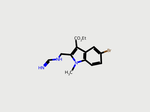 CCOC(=O)c1c(CNC=N)n(C)c2ccc(Br)cc12